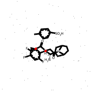 Cc1ccc(S(=O)(=O)O)cc1.N[C@H](Cc1cc(F)c(F)cc1F)C1CC2CCC(C1)N2C(=O)CNC(=O)C1CC1